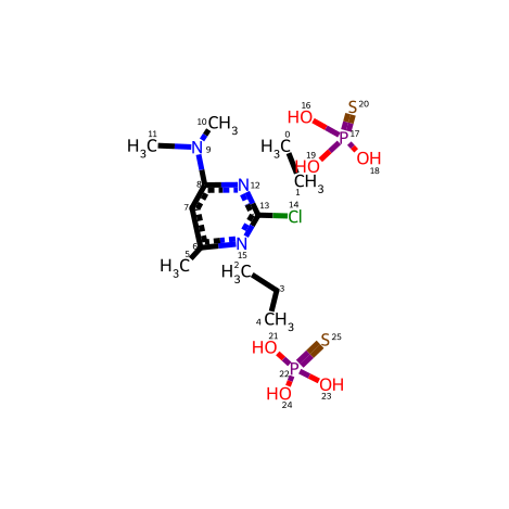 CC.CCC.Cc1cc(N(C)C)nc(Cl)n1.OP(O)(O)=S.OP(O)(O)=S